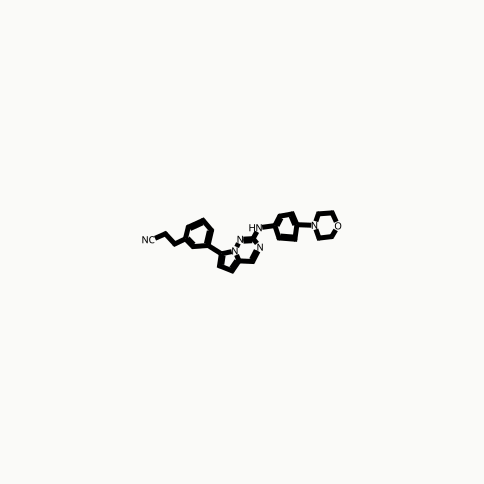 N#CCCc1cccc(-c2ccc3cnc(Nc4ccc(N5CCOCC5)cc4)nn23)c1